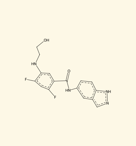 O=C(Nc1ccc2[nH]ncc2c1)c1cc(NCCO)c(F)cc1F